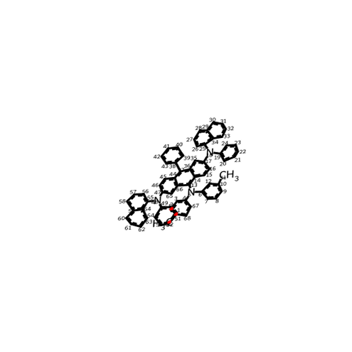 Cc1ccc(N(c2cccc(C)c2)c2c3ccc(N(c4ccccc4)c4cccc5ccccc45)cc3c(-c3ccccc3)c3ccc(N(c4ccccc4)c4cccc5ccccc45)cc23)cc1